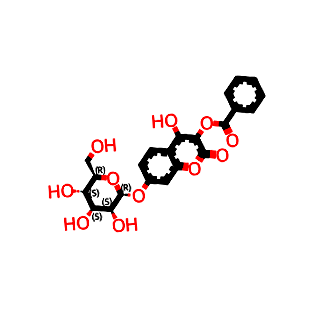 O=C(Oc1c(O)c2ccc(O[C@H]3O[C@H](CO)[C@@H](O)[C@H](O)[C@@H]3O)cc2oc1=O)c1ccccc1